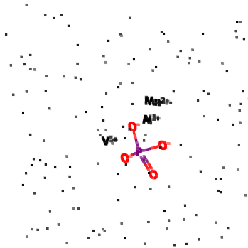 O=P([O-])([O-])[O-].[Al+3].[Mn+2].[V+5]